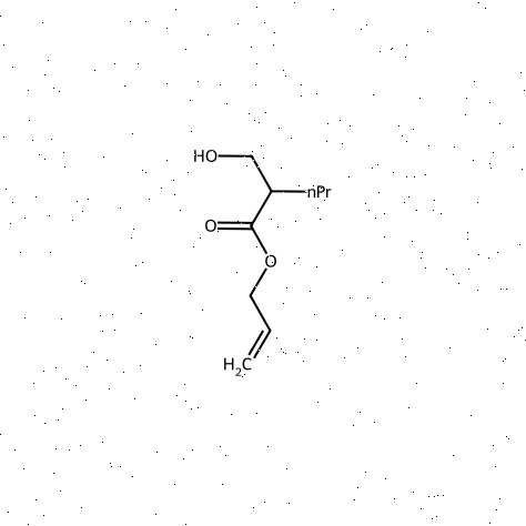 C=CCOC(=O)C(CO)CCC